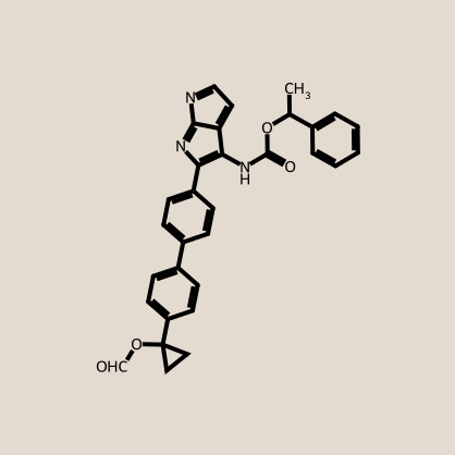 CC(OC(=O)NC1=C(c2ccc(-c3ccc(C4(OC=O)CC4)cc3)cc2)N=C2N=CC=C21)c1ccccc1